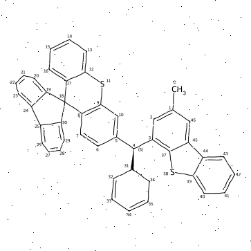 Cc1cc([C@H](c2ccc3c(c2)Sc2ccccc2C32c3ccccc3-c3ccccc32)C2C=CC=CC2)c2sc3ccccc3c2c1